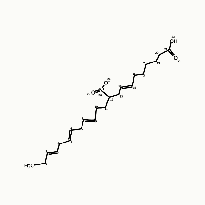 CC/C=C/C/C=C/C/C=C/CCC(C/C=C/CCCCCC(=O)O)[N+](=O)[O-]